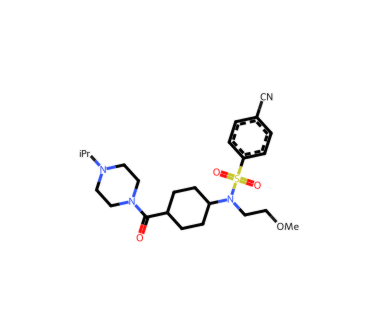 COCCN(C1CCC(C(=O)N2CCN(C(C)C)CC2)CC1)S(=O)(=O)c1ccc(C#N)cc1